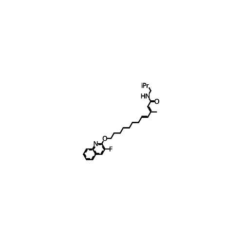 CC(C=CCCCCCCCOc1nc2ccccc2cc1F)=CC(=O)NCC(C)C